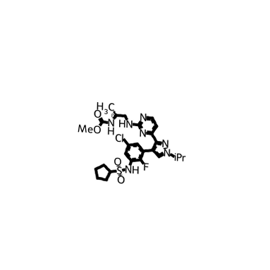 COC(=O)N[C@@H](C)CNc1nccc(-c2nn(C(C)C)cc2-c2cc(Cl)cc(NS(=O)(=O)C3CCCC3)c2F)n1